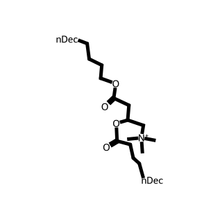 CCCCCCCCCCCCCCOC(=O)CC(C[N+](C)(C)C)OC(=O)CCCCCCCCCCCCC